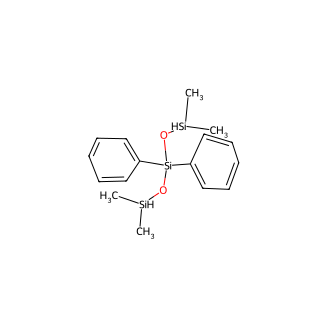 C[SiH](C)O[Si](O[SiH](C)C)(c1ccccc1)c1ccccc1